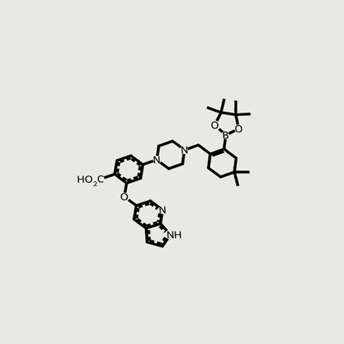 CC1(C)CCC(CN2CCN(c3ccc(C(=O)O)c(Oc4cnc5[nH]ccc5c4)c3)CC2)=C(B2OC(C)(C)C(C)(C)O2)C1